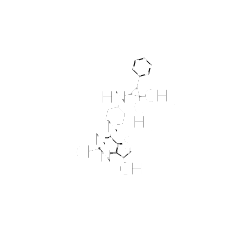 Cc1csc2c(N3CCC(NC4C(c5ccccc5)C4(C)C)CC3)nc(Cl)nc12